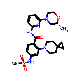 C[C@@H]1CN(c2cccc(NC(=O)c3ccc(NS(=O)(=O)C(C)(C)C)cc3N3CCC4(CC3)CC4)n2)CCO1